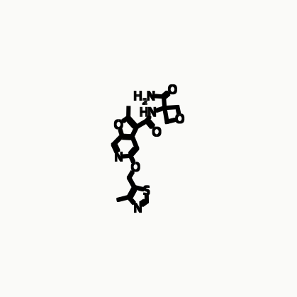 Cc1ncsc1COc1cc2c(C(=O)NC3(C(N)=O)COC3)c(C)oc2cn1